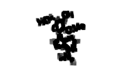 CO[C@@H]1[C@@H](O)[C@@H](CO)O[C@H]1n1cnc2c(N(C)C)ncnc21